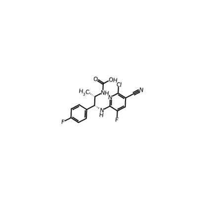 C[C@H](NC(=O)O)[C@H](Nc1nc(Cl)c(C#N)cc1F)c1ccc(F)cc1